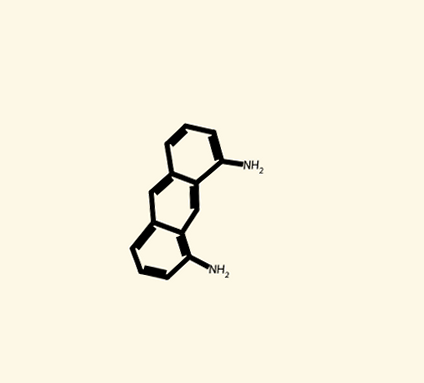 Nc1cccc2cc3cccc(N)c3cc12